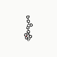 c1ccc(-c2ccc(C3Cc4ccc(-c5ccc6c(c5)c5ccccc5n6-c5cccc6c5-c5ccccc5OC6)cc4-c4ccccc43)cc2)cc1